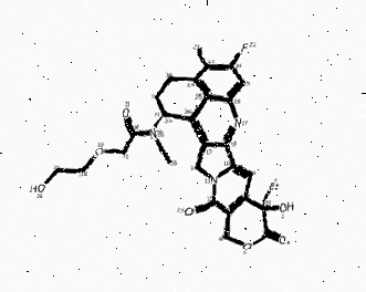 CC[C@@]1(O)C(=O)OCc2c1cc1n(c2=O)Cc2c-1nc1cc(F)c(C)c3c1c2[C@@H](N(C)C(=O)COCCO)CC3